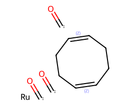 C1=C\CC/C=C\CC/1.[C]=O.[C]=O.[C]=O.[Ru]